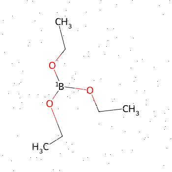 CCO[1B](OCC)OCC